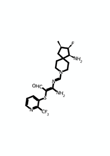 C[C@@H]1CC2(CCN(/C=N/C(N)=C(\C=O)Sc3cccnc3C(F)(F)F)CC2)[C@H](N)[C@@H]1F